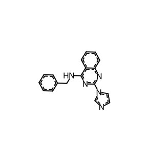 c1ccc(CNc2nc(-n3ccnc3)nc3ccccc23)cc1